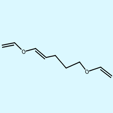 C=CO/C=C/CCCOC=C